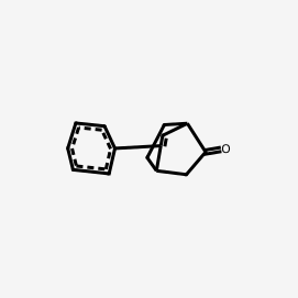 O=C1CC2CCC1C=C2c1ccccc1